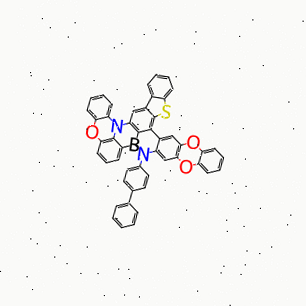 c1ccc(-c2ccc(N3B4c5cccc6c5N(c5ccccc5O6)c5cc6c(sc7ccccc76)c(c54)-c4cc5c(cc43)Oc3ccccc3O5)cc2)cc1